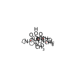 CN(C)C(=O)C(=O)N(C)C12CCC(N3CCCC3)(CC1)Cn1c2nc(C(=O)NCc2ccc(F)cc2)c(O)c1=O